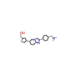 CN(C)Cc1ccc(-c2cn3cc(-c4csc(CO)c4)ccc3n2)cc1